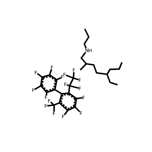 CCCNCC(C)CCC(CC)CCC.Fc1c(F)c(F)c(-c2c(C(F)(F)F)c(F)c(F)c(F)c2C(F)(F)C(F)(F)F)c(F)c1F